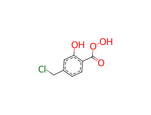 O=C(OO)c1ccc(CCl)cc1O